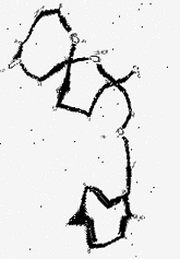 CCC1(COCc2ccccc2)CCC2(COCCCO2)O1